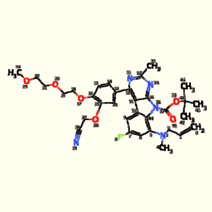 C=CCN(C)c1cc(F)cc2c3c(-c4ccc(OCCOCCOC)c(OCC#N)c4)nc(C)nc3n(C(=O)OC(C)(C)C)c12